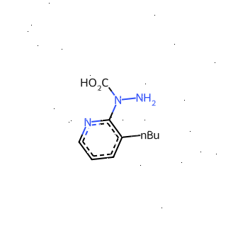 CCCCc1cccnc1N(N)C(=O)O